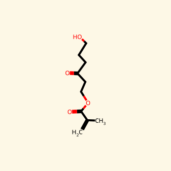 C=C(C)C(=O)OCCC(=O)CCCO